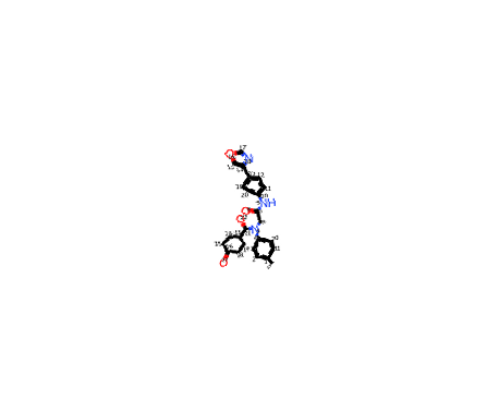 Cc1ccc(N(CC(=O)Nc2ccc(-c3cocn3)cc2)C(=O)C2CCC(=O)CC2)cc1